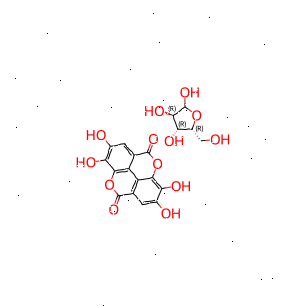 O=c1oc2c(O)c(O)cc3c(=O)oc4c(O)c(O)cc1c4c23.OC[C@H]1OC(O)[C@H](O)[C@H]1O